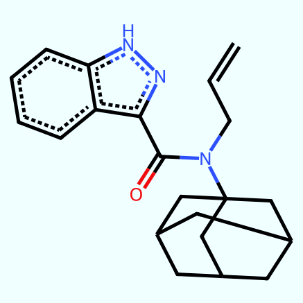 C=CCN(C(=O)c1n[nH]c2ccccc12)C12CC3CC(CC(C3)C1)C2